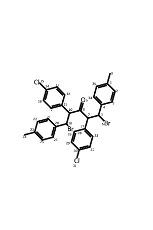 Cc1ccc(C(Br)C(C(=O)C(c2ccc(Cl)cc2)C(Br)c2ccc(C)cc2)c2ccc(Cl)cc2)cc1